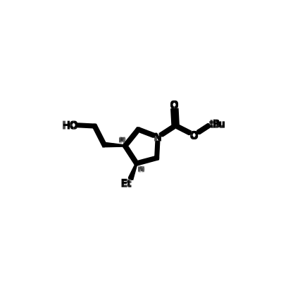 CC[C@@H]1CN(C(=O)OC(C)(C)C)C[C@@H]1CCO